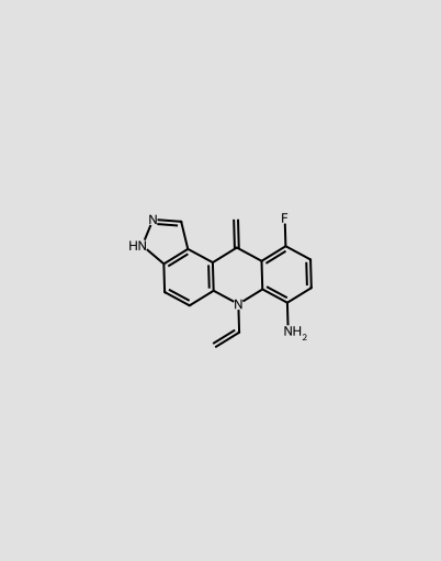 C=CN1c2ccc3[nH]ncc3c2C(=C)c2c(F)ccc(N)c21